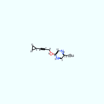 CC(C)(C)c1cnc(OCC#CC2CC2)cn1